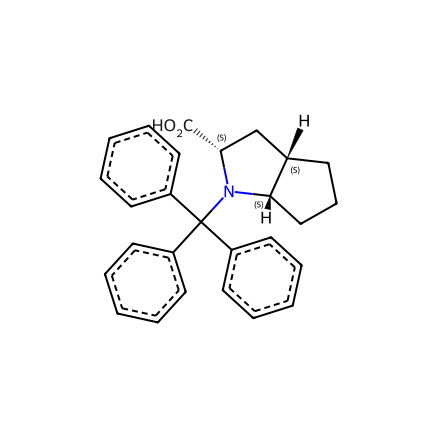 O=C(O)[C@@H]1C[C@@H]2CCC[C@@H]2N1C(c1ccccc1)(c1ccccc1)c1ccccc1